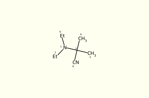 CCN(CC)C(C)(C)C#N